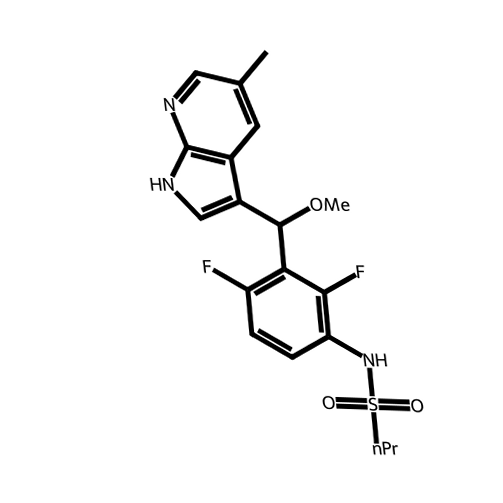 CCCS(=O)(=O)Nc1ccc(F)c(C(OC)c2c[nH]c3ncc(C)cc23)c1F